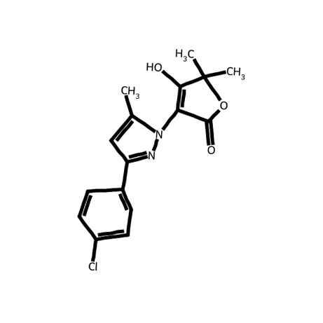 Cc1cc(-c2ccc(Cl)cc2)nn1C1=C(O)C(C)(C)OC1=O